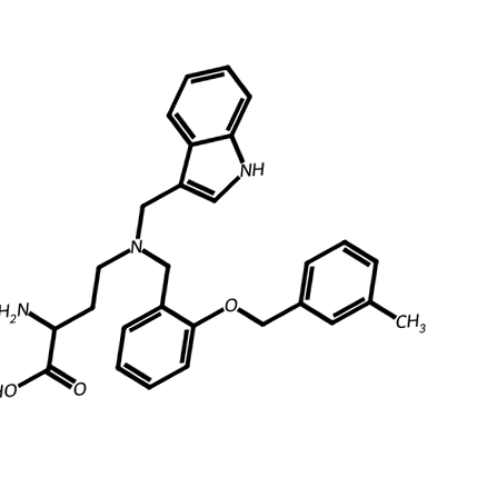 Cc1cccc(COc2ccccc2CN(CCC(N)C(=O)O)Cc2c[nH]c3ccccc23)c1